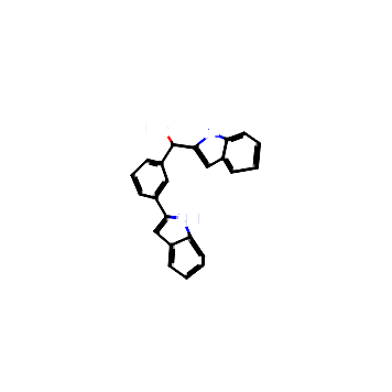 OC(c1cccc(-c2cc3ccccc3[nH]2)c1)c1cc2ccccc2[nH]1